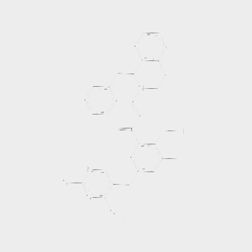 COc1cc(Cc2cnc(N)nc2N)cc(C(=O)/C=C/N2CCc3ccccc3C2Cc2ccccc2)c1OC